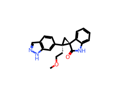 COCC[C@]1(c2ccc3cn[nH]c3c2)C[C@@]12C(=O)Nc1ccccc12